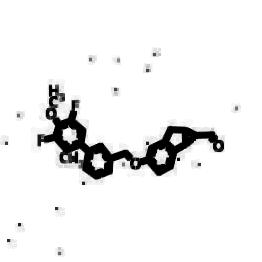 COc1c(F)cc(-c2cccc(COc3ccc4c(c3)CC3C(C=O)C43)c2)c(C)c1F